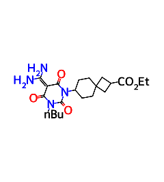 CCCCN1C(=O)C(=C(N)N)C(=O)N(C2CCC3(CC2)CC(C(=O)OCC)C3)C1=O